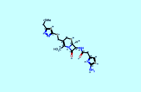 CSCc1nnc(SCC2=C(C(=O)O)N3C(=O)C(NC(=O)Cc4csc(N)n4)[C@@H]3SC2)s1